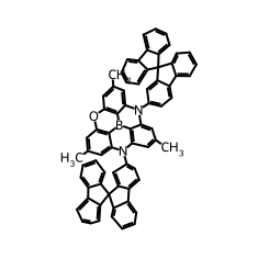 Cc1cc2c3c(c1)N(c1ccc4c(c1)C1(c5ccccc5-c5ccccc51)c1ccccc1-4)c1cc(C)cc4c1B3c1c(cc(C)cc1N4c1ccc3c(c1)C1(c4ccccc4-c4ccccc41)c1ccccc1-3)O2